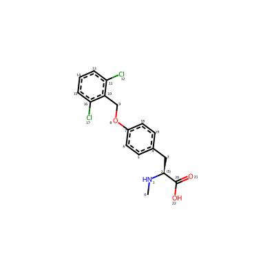 CN[C@@H](Cc1ccc(OCc2c(Cl)cccc2Cl)cc1)C(=O)O